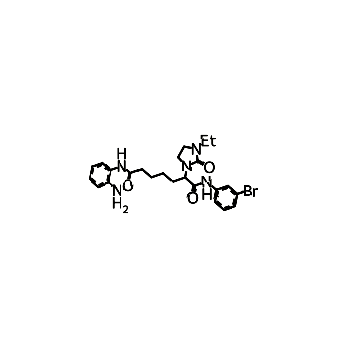 CCN1CCN(C(CCCCC(=O)Nc2ccccc2N)C(=O)Nc2cccc(Br)c2)C1=O